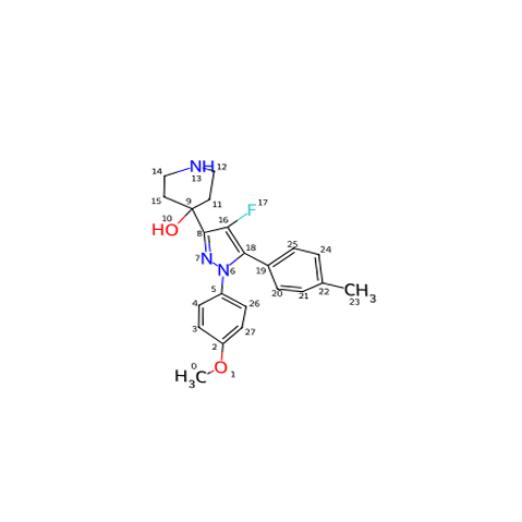 COc1ccc(-n2nc(C3(O)CCNCC3)c(F)c2-c2ccc(C)cc2)cc1